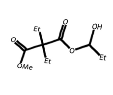 CCC(O)OC(=O)C(CC)(CC)C(=O)OC